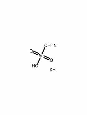 O=[Se](=O)(O)O.[KH].[Ni]